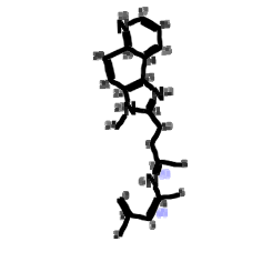 C=C(C)/C=C(C)\N=C(/C)CCc1nc2c3cccnc3ccc2n1C